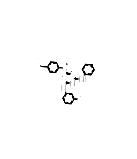 Cc1ccc(Nc2nc(N(C)c3ccc(CO)cc3)nc(N(C)c3cccc(C)c3)n2)cc1